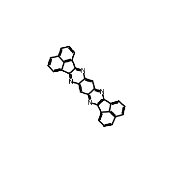 c1cc2c3c(cccc3c1)-c1nc3cc4nc5c(nc4cc3nc1-2)-c1cccc2cccc-5c12